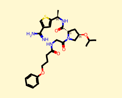 CC(C)O[C@@H]1C[C@@H](C(=O)N[C@H](C)c2cc(C(=N)N)cs2)N(C(=O)CNC(=O)CCCOc2ccccc2)C1